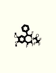 COc1cc2c(cc1SC)C(F)C(F)N(C(=O)C(F)(F)F)C(F)C2c1ccccc1